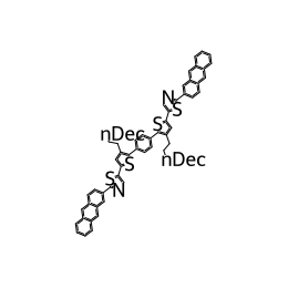 CCCCCCCCCCCCc1cc(-c2cnc(-c3ccc4cc5ccccc5cc4c3)s2)sc1-c1ccc(-c2sc(-c3cnc(-c4ccc5cc6ccccc6cc5c4)s3)cc2CCCCCCCCCCCC)cc1